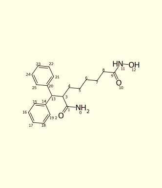 NC(=O)C(CCCCCC(=O)NO)C(c1ccccc1)c1ccccc1